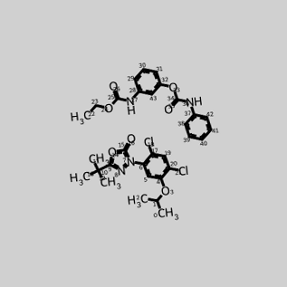 CC(C)Oc1cc(-n2nc(C(C)(C)C)oc2=O)c(Cl)cc1Cl.CCOC(=O)Nc1cccc(OC(=O)Nc2ccccc2)c1